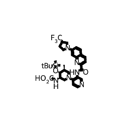 C[C@H]1CN(c2ccncc2NC(=O)c2ccc3ccc(N4CCC(C(F)(F)F)C4)cc3n2)C[C@@H](NC(=O)O)[C@H]1O[Si](C)(C)C(C)(C)C